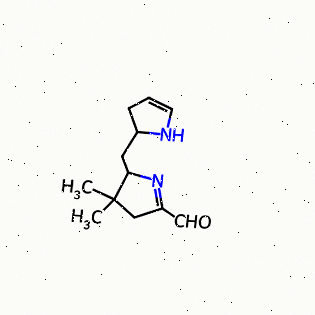 CC1(C)CC(C=O)=NC1CC1CC=CN1